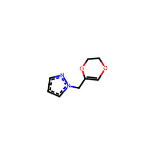 C1=C(Cn2cccn2)OCCO1